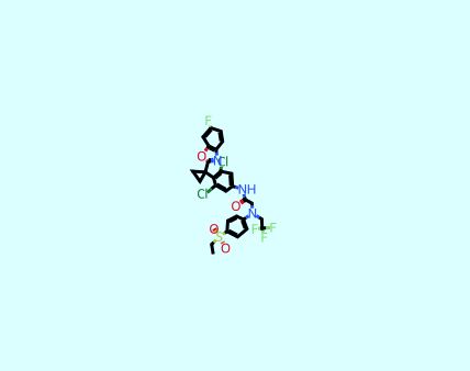 CCS(=O)(=O)c1ccc(N(CC(=O)Nc2cc(Cl)c(C3(c4nc5ccc(F)cc5o4)CC3)c(Cl)c2)CC(F)(F)F)cc1